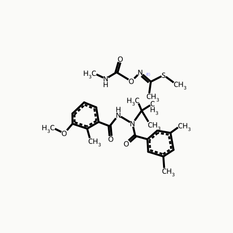 CNC(=O)O/N=C(\C)SC.COc1cccc(C(=O)NN(C(=O)c2cc(C)cc(C)c2)C(C)(C)C)c1C